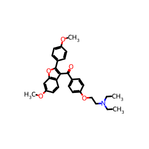 CCN(CC)CCOc1ccc(C(=O)c2c(-c3ccc(OC)cc3)oc3cc(OC)ccc23)cc1